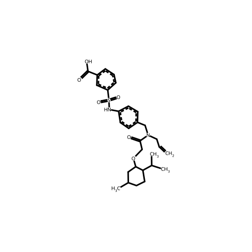 C=CCN(Cc1ccc(NS(=O)(=O)c2cccc(C(=O)O)c2)cc1)C(=O)COC1CC(C)CCC1C(C)C